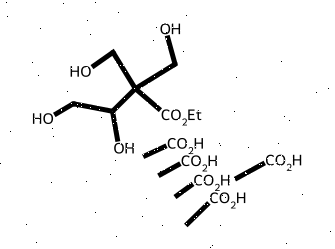 CC(=O)O.CC(=O)O.CC(=O)O.CC(=O)O.CC(=O)O.CCOC(=O)C(CO)(CO)C(O)CO